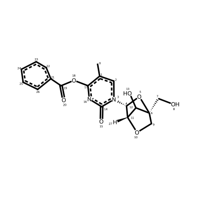 Cc1cn([C@@H]2O[C@@]3(CO)CO[C@H]2C3O)c(=O)nc1OC(=O)c1ccccc1